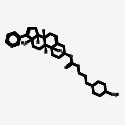 C[C@]12CC[C@H](OC(=O)OCCCN3CCC(C(=O)O)CC3)CC1=CC[C@@H]1[C@@H]2CC[C@]2(C)C(c3cccnc3)=CC[C@@H]12